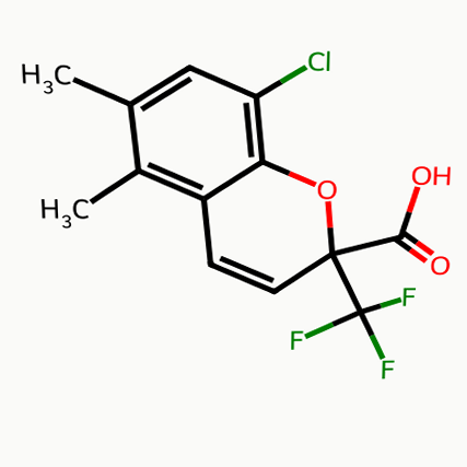 Cc1cc(Cl)c2c(c1C)C=CC(C(=O)O)(C(F)(F)F)O2